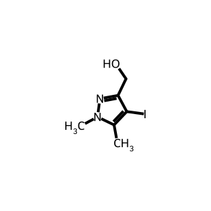 Cc1c(I)c(CO)nn1C